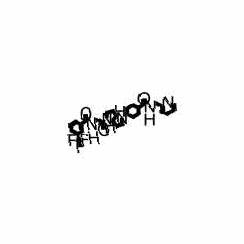 O=C(NCC(=O)N1CC[C@@H]2[C@H]1CCN2C1CCC(C(=O)NCc2ccccn2)CC1)c1cccc(C(F)(F)F)c1